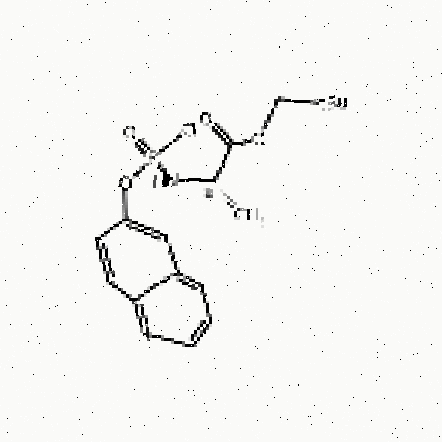 C[C@H](NP(=O)(Cl)Oc1ccc2ncccc2c1)C(=O)OCC(C)(C)C